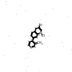 CCN1C=C(C(C)=O)Cc2ccc(-c3ccncc3C)cc21